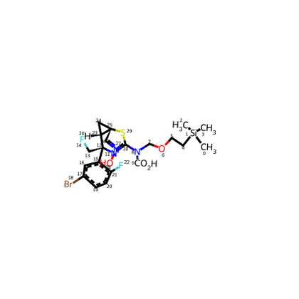 C[Si](C)(C)CCOCN(C(=O)O)C1=N[C@](CF)(c2cc(Br)ccc2F)[C@@H]2C[C@]2(/C=N/O)S1